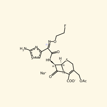 CC(=O)OCC1=C(C(=O)[O-])N2C(=O)[C@@H](NC(=O)/C(=N\OCCF)c3csc(N)n3)[C@H]2SC1.[Na+]